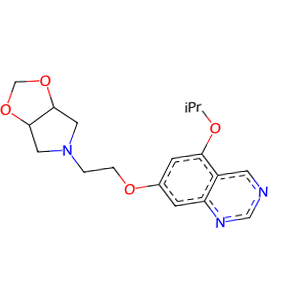 CC(C)Oc1cc(OCCN2CC3OCOC3C2)cc2ncncc12